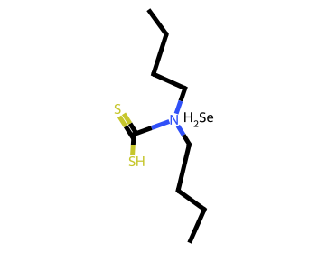 CCCCN(CCCC)C(=S)S.[SeH2]